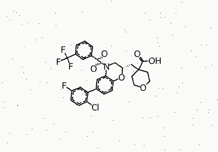 O=C(O)C1(C[C@H]2CN(S(=O)(=O)c3cccc(C(F)(F)F)c3)c3cc(-c4cc(F)ccc4Cl)ccc3O2)CCOCC1